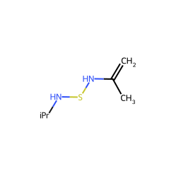 C=C(C)NSNC(C)C